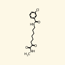 CNC(=O)C(=O)CCCCCCNC(=O)c1cccc(Cl)c1